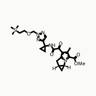 COC(=O)c1c(C)c(C(=O)C(=O)NC2(c3cnn(COCC[Si](C)(C)C)n3)CC2)c2n1[C@@H]1C[C@@H]1C2